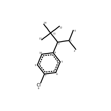 CC(C)C(c1ccc(Cl)cc1)C(C)(C)C